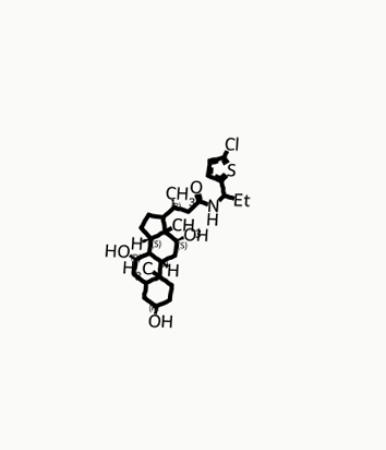 CCC(NC(=O)C[C@@H](C)C1CC[C@H]2C3[C@H](O)CC4C[C@H](O)CCC4(C)[C@H]3C[C@H](O)C12C)c1ccc(Cl)s1